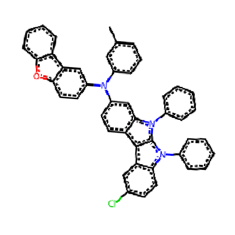 Cc1cccc(N(c2ccc3oc4ccccc4c3c2)c2ccc3c4c5cc(Cl)ccc5n(-c5ccccc5)c4n(-c4ccccc4)c3c2)c1